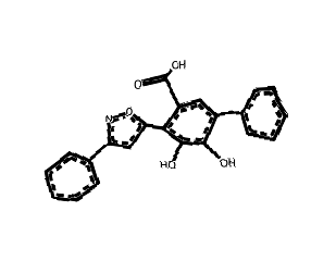 O=C(O)c1cc(-c2ccccc2)c(O)c(O)c1-c1cc(-c2ccccc2)no1